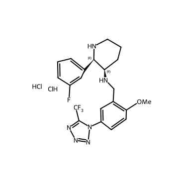 COc1ccc(-n2nnnc2C(F)(F)F)cc1CN[C@@H]1CCCN[C@@H]1c1cccc(F)c1.Cl.Cl